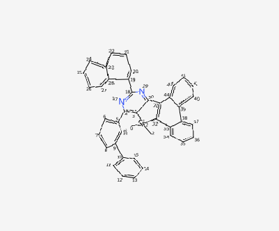 C[Si]1(C)c2c(-c3cccc(-c4ccccc4)c3)nc(-c3cccc4ccccc34)nc2-c2c1c1ccccc1c1ccccc21